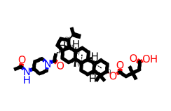 C=C(C)[C@@H]1CC[C@]2(CC(=O)N3CCC(NC(C)=O)CC3)CC[C@]3(C)[C@H](CC[C@@H]4[C@@]5(C)CC[C@H](OC(=O)CC(C)(C)CC(=O)O)C(C)(C)[C@@H]5CC[C@]43C)[C@@H]12